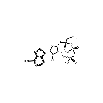 COP(=O)(O[C@H]1O[C@@H](n2cnc3c(N)ncnc32)[C@H](O)[C@H]1O)OP(=O)(O)OP(=O)(O)O